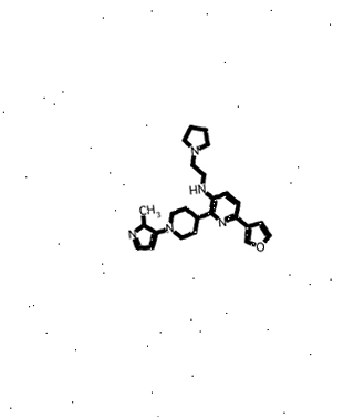 CC1N=CC=C1N1CCC(c2nc(-c3ccoc3)ccc2NCCN2CCCC2)CC1